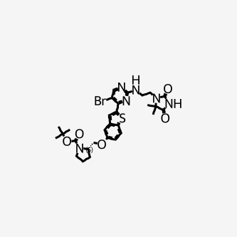 CC(C)(C)OC(=O)N1CCC[C@H]1COc1ccc2sc(-c3nc(NCCN4C(=O)NC(=O)C4(C)C)ncc3Br)cc2c1